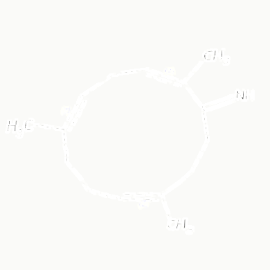 C/C1=C/C/C=C(/C)C(=N)CC/C(C)=C\CC1